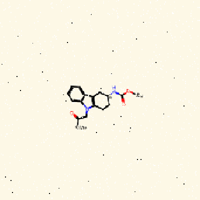 COC(=O)Cn1c2c(c3ccccc31)C[C@H](NC(=O)OC(C)(C)C)CC2